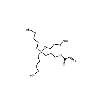 C=CC(=O)OCCC[Si](OCCOCCCC)(OCCOCCCC)OCCOCCCC